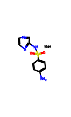 Nc1ccc(S(=O)(=O)Nc2cnccn2)cc1.[NaH]